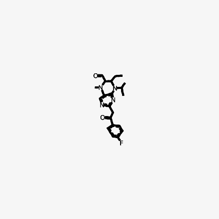 CCC1C(C=O)N(C)c2cnc(CC(=O)c3ccc(F)cc3)nc2N1C(C)C